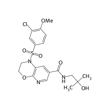 COc1ccc(S(=O)(=O)N2CCOc3ncc(C(=O)NCC(C)(C)O)cc32)cc1Cl